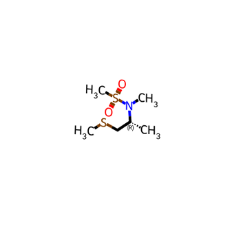 CSC[C@@H](C)N(C)S(C)(=O)=O